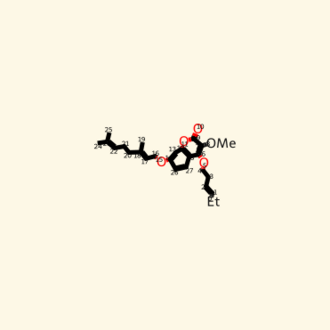 CCC=CCCOc1c(OC)c(=O)oc2cc(OC/C=C(\C)CCC=C(C)C)ccc12